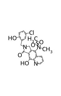 CN(c1c2c(c(O)c3ncccc13)C(=O)N(Cc1cc(Cl)ccc1O)C2)S(C)(=O)=O